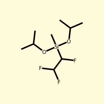 CC(C)O[Si](C)(OC(C)C)C(F)C(F)F